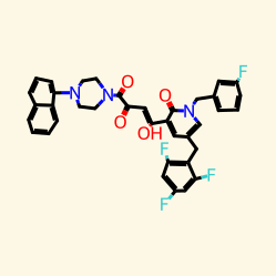 O=C(C=C(O)c1cc(Cc2c(F)cc(F)cc2F)cn(Cc2cccc(F)c2)c1=O)C(=O)N1CCN(c2cccc3ccccc23)CC1